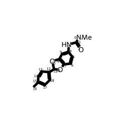 CNC(=O)Nc1ccc2c(c1)OC(c1ccc(C)cc1)O2